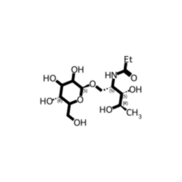 CCC(=O)N[C@@H](CO[C@H]1OC(CO)[C@H](O)C(O)C1O)[C@H](O)[C@@H](C)O